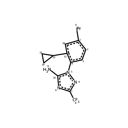 CC(C)c1ccc(-n2nc(C(F)(F)F)nc2N)c(C2CC2)c1